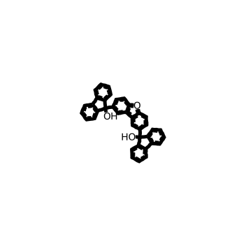 OC1(c2ccc3oc4ccc(C5(O)c6ccccc6-c6ccccc65)cc4c3c2)c2ccccc2-c2ccccc21